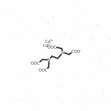 O=C([O-])CN(CCN(CC(=O)[O-])CC(=O)[O-])CC(=O)[O-].[Cd+2].[Cd+2]